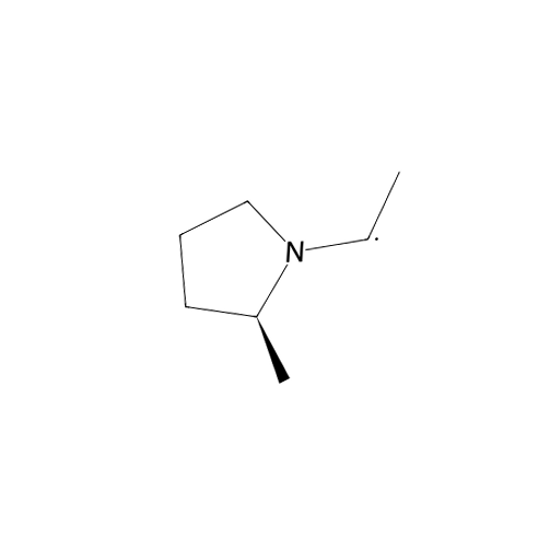 C[CH]N1CCC[C@@H]1C